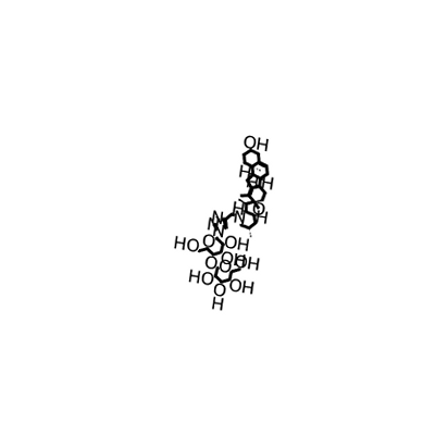 CC1=C2C[C@H]3[C@@H](CC=C4C[C@@H](O)CC[C@@]43C)[C@@H]2CC[C@]12O[C@@H]1C[C@H](C)CN(Cc3cn([C@@H]4OC(CO)[C@@H](O[C@@H]5OC(CO)[C@@H](O)C(O)C5O)C(O)C4O)nn3)[C@H]1[C@H]2C